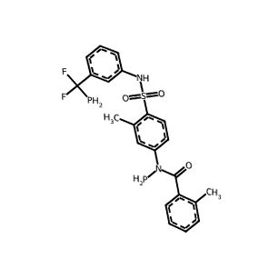 Cc1ccccc1C(=O)N(P)c1ccc(S(=O)(=O)Nc2cccc(C(F)(F)P)c2)c(C)c1